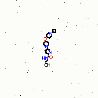 CCCNC(=O)c1ccc(N2CCC(OC3CCN(C4CCC4)CC3)CC2)cn1